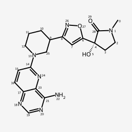 CN1CC[C@@](O)(c2cc(C3CCCN(c4ccc5ncnc(N)c5n4)C3)no2)C1=O